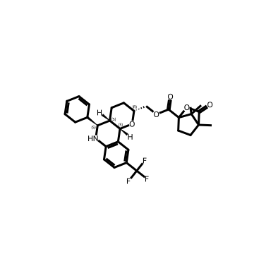 CC12CCC(C(=O)OC[C@H]3CC[C@@H]4[C@H](O3)c3cc(C(F)(F)F)ccc3N[C@H]4C3C=CC=CC3)(OC1=O)C2(C)C